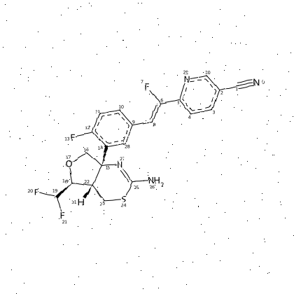 N#Cc1ccc(/C(F)=C/c2ccc(F)c([C@]34CO[C@H](C(F)F)[C@H]3CSC(N)=N4)c2)nc1